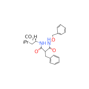 CC(C)C[C@H](NC(=O)C(Cc1ccccc1)C(=O)NOCc1ccccc1)C(=O)O